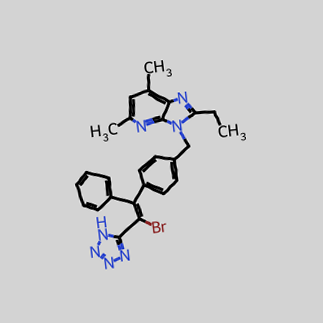 CCc1nc2c(C)cc(C)nc2n1Cc1ccc(C(=C(Br)c2nnn[nH]2)c2ccccc2)cc1